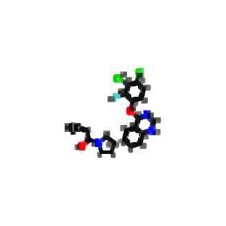 C=CC(=O)N1CC[C@@H](c2ccc3ncnc(Oc4ccc(Cl)c(Cl)c4F)c3c2)C1